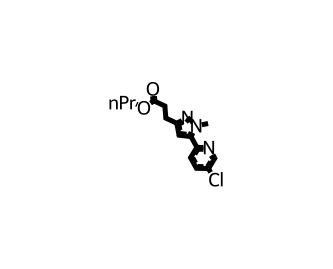 CCCOC(=O)CCc1cc(-c2ccc(Cl)cn2)n(C)n1